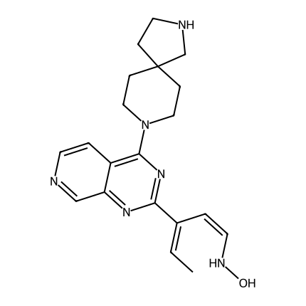 C/C=C(\C=C/NO)c1nc(N2CCC3(CCNC3)CC2)c2ccncc2n1